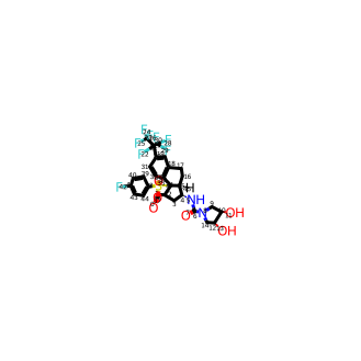 O=CC1C[C@@H](NC(=O)N2C[C@@H](O)[C@@H](O)C2)[C@@H]2CCc3cc(C(F)(C(F)(F)F)C(F)(F)F)ccc3[C@@]12S(=O)(=O)c1ccc(F)cc1